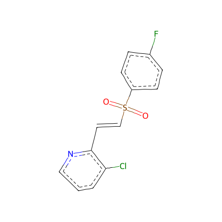 O=S(=O)(C=Cc1ncccc1Cl)c1ccc(F)cc1